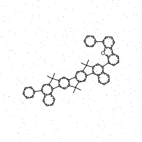 CC1(C)c2cc3c(cc2-c2cc4c(cc21)-c1c(cc(-c2cccc5c2oc2c(-c6ccccc6)cccc25)c2ccccc12)C4(C)C)C(C)(C)c1cc(-c2ccccc2)c2ccccc2c1-3